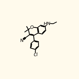 CCNc1ccc2c(c1)OC(C)(C)C(C#N)=C2c1ccc(Cl)cc1